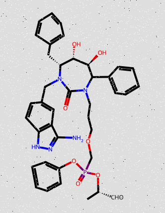 C[C@@H](C=O)OP(=O)(COCCCN1C(=O)N(Cc2ccc3[nH]nc(N)c3c2)[C@H](Cc2ccccc2)[C@H](O)[C@@H](O)C1c1ccccc1)Oc1ccccc1